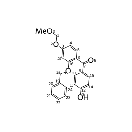 COCOc1ccc(C(=O)c2ccc(O)cc2)c(OCc2ccccc2)c1